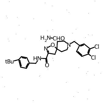 CC(C)(C)c1ccc(CNC(=O)C2=NOC3(CCN(Cc4ccc(Cl)c(Cl)c4)CC3)C2)cc1.NC=O